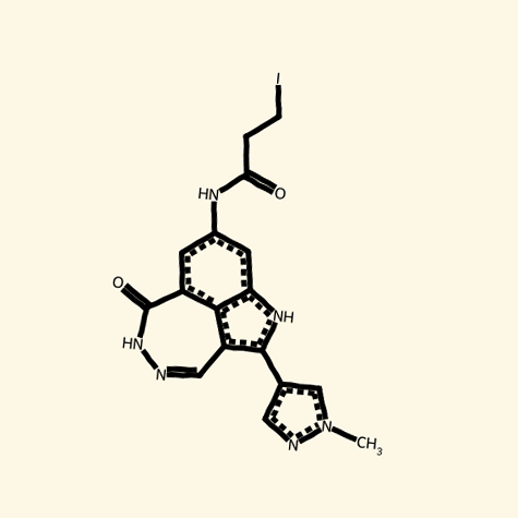 Cn1cc(-c2[nH]c3cc(NC(=O)CCI)cc4c3c2C=NNC4=O)cn1